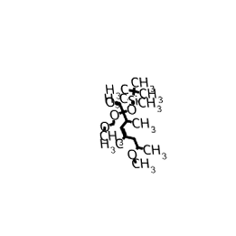 COCOC(C=O)(O[Si](C)(C)C(C)(C)C)C(C)C=C(C)CC(C)OC